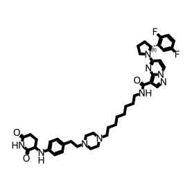 O=C1CCC(Nc2ccc(CCN3CCN(CCCCCCCCNC(=O)c4cnn5ccc(N6CCC[C@@H]6c6cc(F)ccc6F)nc45)CC3)cc2)C(=O)N1